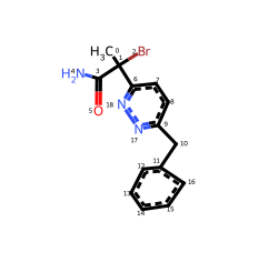 CC(Br)(C(N)=O)c1ccc(Cc2ccccc2)nn1